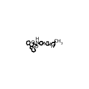 Cc1ccnc(N2CCN(c3ccc(NC(=O)C(=O)c4c(C5CCCCC5)cc5ccccn45)cc3)CC2)c1